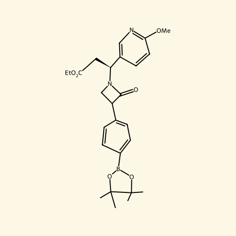 CCOC(=O)C[C@@H](c1ccc(OC)nc1)N1CC(c2ccc(B3OC(C)(C)C(C)(C)O3)cc2)C1=O